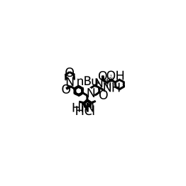 CCCCN1C(=O)[C@@H]([C@H](O)C2CCCCC2)NC(=O)C12CCN(C(c1ccc(C(=O)N3CCOCC3)cc1)c1c(C)n[nH]c1C)CC2.Cl